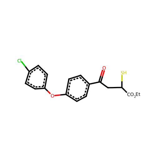 CCOC(=O)C(S)CC(=O)c1ccc(Oc2ccc(Cl)cc2)cc1